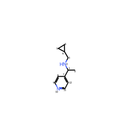 CC(NCC1CC1)c1ccncc1